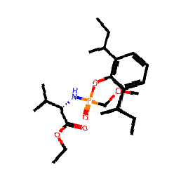 CCOC(=O)[C@@H](NP(=O)(COC)Oc1c(C(C)CC)cccc1C(C)CC)C(C)C